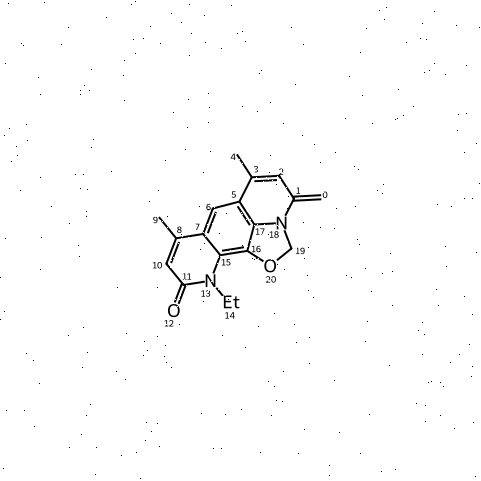 C=C1C=C(C)c2cc3c(C)cc(=O)n(CC)c3c3c2N1CO3